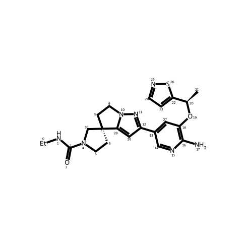 CCNC(=O)N1CC[C@@]2(CCn3nc(-c4cnc(N)c(O[C@H](C)c5ccns5)c4)cc32)C1